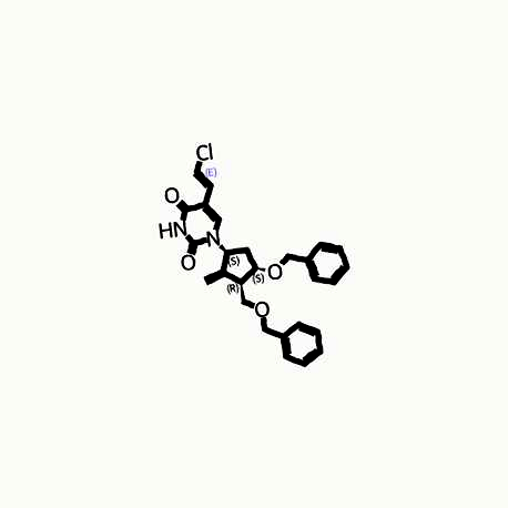 C=C1[C@H](COCc2ccccc2)[C@@H](OCc2ccccc2)C[C@@H]1n1cc(/C=C/Cl)c(=O)[nH]c1=O